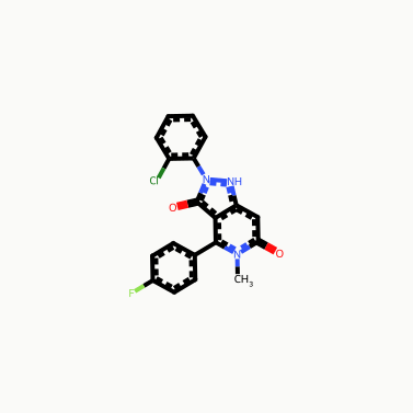 Cn1c(-c2ccc(F)cc2)c2c(=O)n(-c3ccccc3Cl)[nH]c2cc1=O